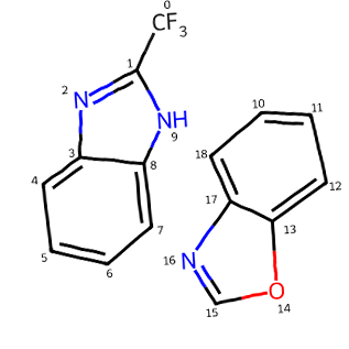 FC(F)(F)c1nc2ccccc2[nH]1.c1ccc2ocnc2c1